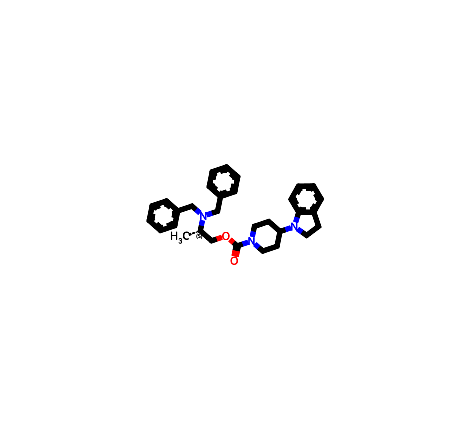 C[C@@H](COC(=O)N1CCC(N2CCc3ccccc32)CC1)N(Cc1ccccc1)Cc1ccccc1